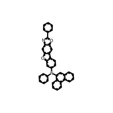 c1ccc(-c2nc3cc4oc5cc(N(c6ccccc6)c6cc7ccccc7c7ccccc67)ccc5c4cc3o2)cc1